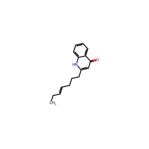 CC/C=C/CCCc1cc(=O)c2ccccc2[nH]1